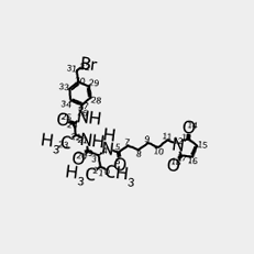 CC(C)[C@H](NC(=O)CCCCCN1C(=O)C=CC1=O)C(=O)N[C@@H](C)C(=O)Nc1ccc(CBr)cc1